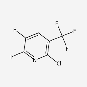 Fc1cc(C(F)(F)F)c(Cl)nc1I